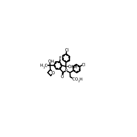 CO[C@]1(c2ccc(Cl)cc2)c2c(F)cc(C(C)(O)C3CCO3)cc2C(=O)N1C(CC(=O)O)c1ccc(Cl)cc1